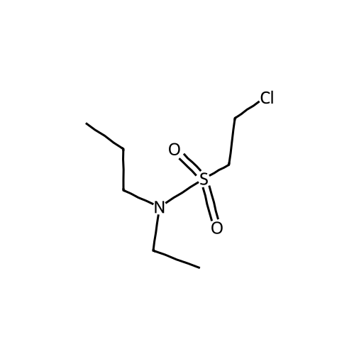 CCCN(CC)S(=O)(=O)CCCl